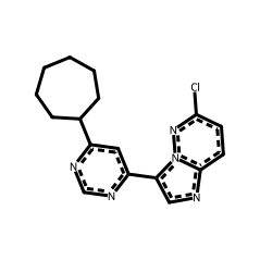 Clc1ccc2ncc(-c3cc(C4CCCCCC4)ncn3)n2n1